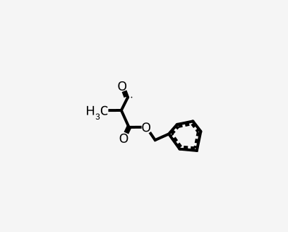 CC([C]=O)C(=O)OCc1ccccc1